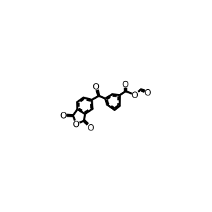 O=COC(=O)c1cccc(C(=O)c2ccc3c(c2)C(=O)OC3=O)c1